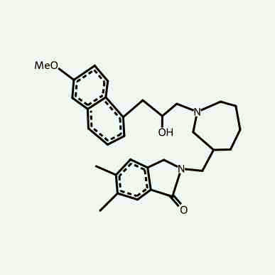 COc1ccc2c(CC(O)CN3CCCCC(CN4Cc5cc(C)c(C)cc5C4=O)C3)cccc2c1